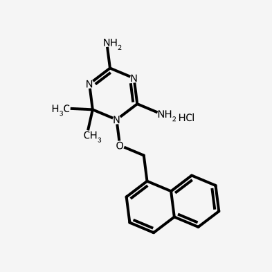 CC1(C)N=C(N)N=C(N)N1OCc1cccc2ccccc12.Cl